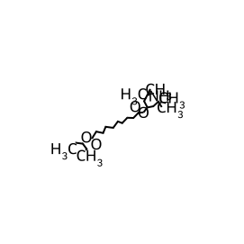 CCC(CC)OC(=O)CCCCCCCCC(=O)OC1CC(C)(C)NC(C)(C)C1